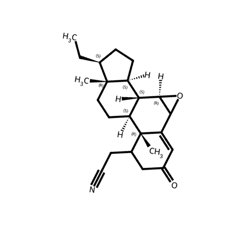 CC[C@H]1CC[C@H]2[C@@H]3[C@H]4OC4C4=CC(=O)CC(CC#N)[C@]4(C)[C@H]3CC[C@]12C